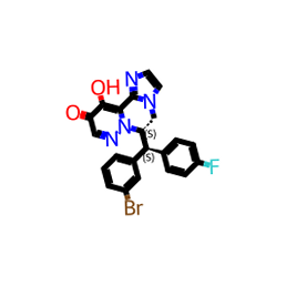 O=c1cnn2c(c1O)-c1nccn1C[C@@H]2[C@@H](c1ccc(F)cc1)c1cccc(Br)c1